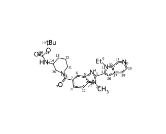 CCn1c(-c2nc3cc(C(=O)N4CCCC(NC(=O)OC(C)(C)C)C4)ccc3n2C)cc2ccncc21